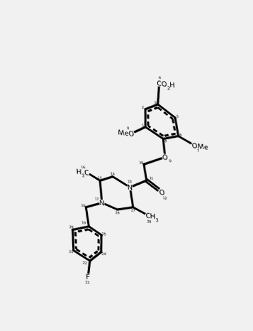 COc1cc(C(=O)O)cc(OC)c1OCC(=O)N1CC(C)N(Cc2ccc(F)cc2)CC1C